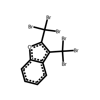 BrC(Br)(Br)c1oc2ccccc2c1C(Br)(Br)Br